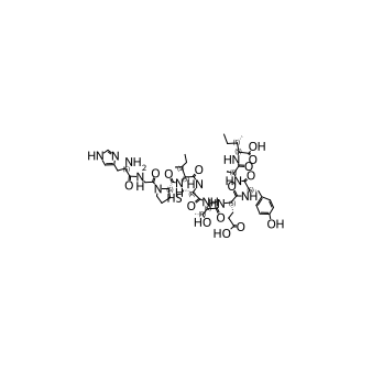 CC[C@H](C)[C@H](NC(=O)[C@H](C)NC(=O)[C@H](Cc1ccc(O)cc1)NC(=O)[C@H](CCC(=O)O)NC(=O)[C@@H](NC(=O)[C@H](CS)NC(=O)[C@@H](NC(=O)[C@@H]1CCCN1C(=O)CNC(=O)[C@@H](N)Cc1c[nH]cn1)[C@@H](C)CC)[C@@H](C)O)C(=O)O